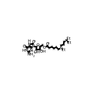 CCN(CC)CCCN(CC)CCCCCC(=O)OCC1OC(n2c(=O)[nH]c3c(=O)[nH]c(N)nc32)C(O)C1O